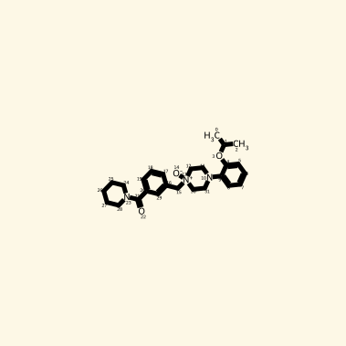 CC(C)Oc1ccccc1N1CC[N+]([O-])(Cc2cccc(C(=O)N3CCCCC3)c2)CC1